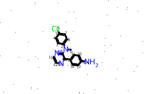 CN(c1ccc(Cl)cc1)c1nccnc1-c1ccc(N)cc1